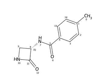 Cc1ccc(C(=O)N[C@H]2CNC2=O)cc1